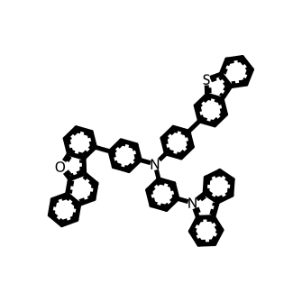 c1cc(N(c2ccc(-c3ccc4c(c3)sc3ccccc34)cc2)c2ccc(-c3cccc4oc5c6ccccc6ccc5c34)cc2)cc(-n2c3ccccc3c3ccccc32)c1